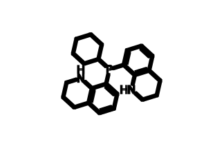 c1cc2c(c(P(c3cccc4c3NCCC4)C3CCCCC3)c1)NCCC2